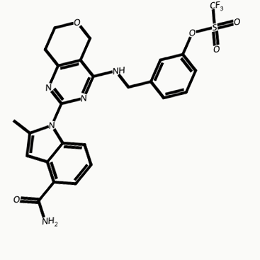 Cc1cc2c(C(N)=O)cccc2n1-c1nc2c(c(NCc3cccc(OS(=O)(=O)C(F)(F)F)c3)n1)COCC2